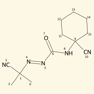 CC(C)(C#N)N=NC(=O)NC1(C#N)CCCCC1